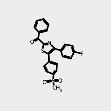 CS(=O)(=O)c1ccc(-c2sc(C(=O)c3ccccc3)nc2-c2ccc(F)cc2)cc1